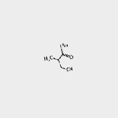 CC(CC#N)C(=O)C(C)(C)C